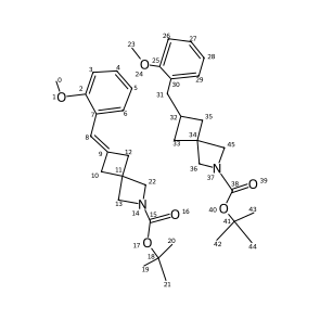 COc1ccccc1C=C1CC2(C1)CN(C(=O)OC(C)(C)C)C2.COc1ccccc1CC1CC2(C1)CN(C(=O)OC(C)(C)C)C2